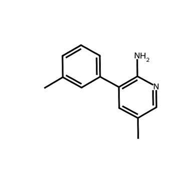 Cc1cccc(-c2cc(C)cnc2N)c1